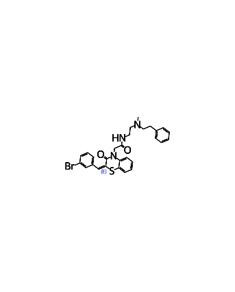 CN(CCNC(=O)CN1C(=O)/C(=C\c2cccc(Br)c2)Sc2ccccc21)CCc1ccccc1